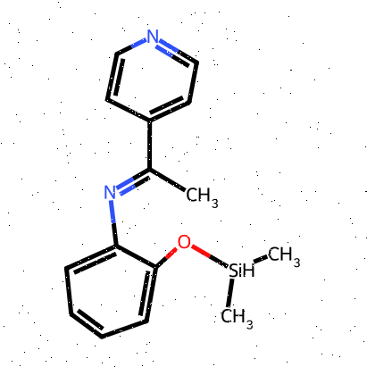 CC(=Nc1ccccc1O[SiH](C)C)c1ccncc1